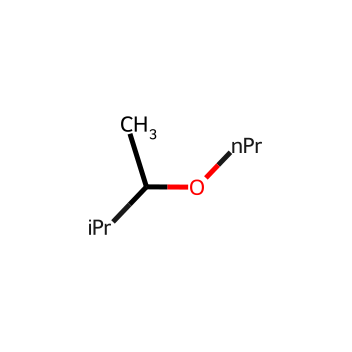 [CH2]CCOC(C)C(C)C